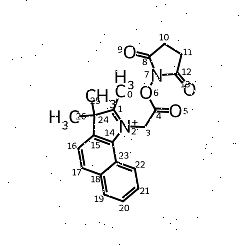 CC1=[N+](CC(=O)ON2C(=O)CCC2=O)c2c(ccc3ccccc23)C1(C)C